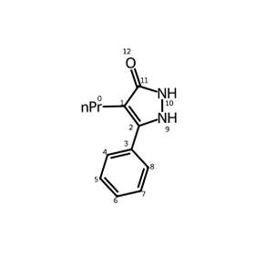 CCCc1c(-c2ccccc2)[nH][nH]c1=O